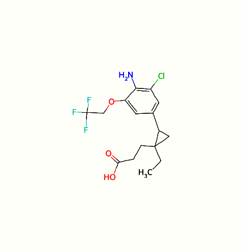 CCC1(CCC(=O)O)CC1c1cc(Cl)c(N)c(OCC(F)(F)F)c1